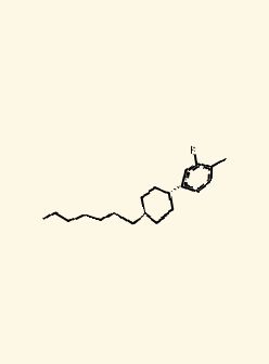 CCCCCCC[C@H]1CC[C@H](c2ccc(C)c(F)c2)CC1